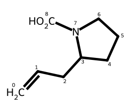 C=CCC1CCCN1C(=O)O